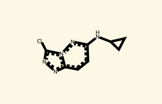 Clc1nnc2ccc(NC3CC3)nn12